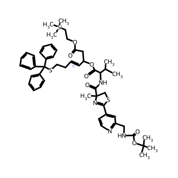 CC(C)C(NC(=O)C1(C)CSC(c2ccnc(CNC(=O)OC(C)(C)C)c2)=N1)C(=O)OC(/C=C/CCSC(c1ccccc1)(c1ccccc1)c1ccccc1)CC(=O)OCC[Si](C)(C)C